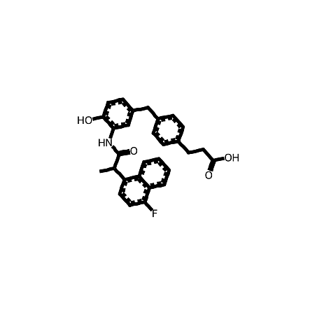 CC(C(=O)Nc1cc(Cc2ccc(CCC(=O)O)cc2)ccc1O)c1ccc(F)c2ccccc12